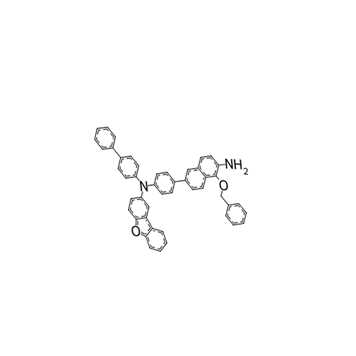 Nc1ccc2cc(-c3ccc(N(c4ccc(-c5ccccc5)cc4)c4ccc5oc6ccccc6c5c4)cc3)ccc2c1OCc1ccccc1